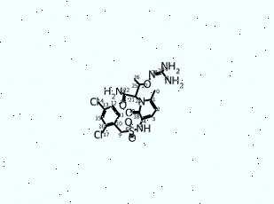 Cc1ccc(NS(=O)(=O)Cc2ccc(Cl)cc2Cl)c(=O)n1C(C(N)=O)C(C)ON=C(N)N